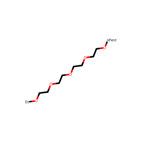 CCCCCOCCOCCOCCOCCOCC